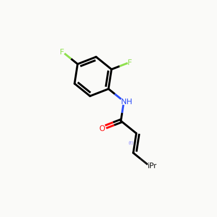 CC(C)/C=C/C(=O)Nc1ccc(F)cc1F